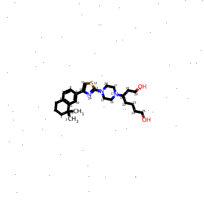 CC1(C)CCCc2ccc(-c3csc(N4CCN(C(CCO)CCCCO)CC4)n3)cc21